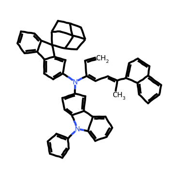 C=C/C(=C\C=C(/C)c1cccc2ccccc12)N(c1ccc2c(c1)C1(c3ccccc3-2)C2CC3CC(C2)CC1C3)c1ccc2c(c1)c1ccccc1n2-c1ccccc1